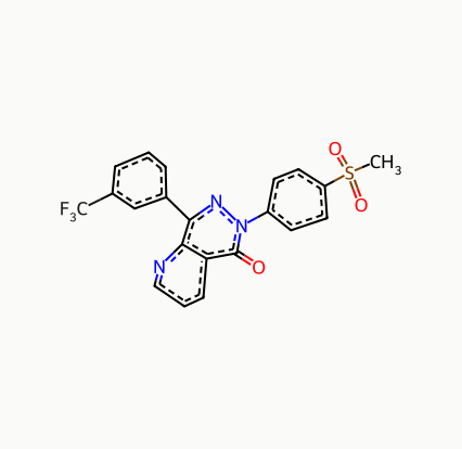 CS(=O)(=O)c1ccc(-n2nc(-c3cccc(C(F)(F)F)c3)c3ncccc3c2=O)cc1